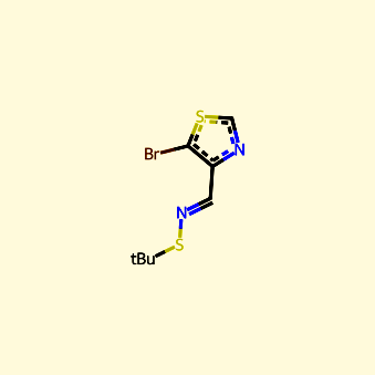 CC(C)(C)S/N=C/c1ncsc1Br